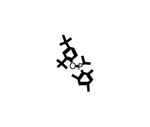 Cc1cc(C)c(P(Oc2ccc(C(C)(C)C)cc2C(C)(C)C)C(C)C)c(C)c1